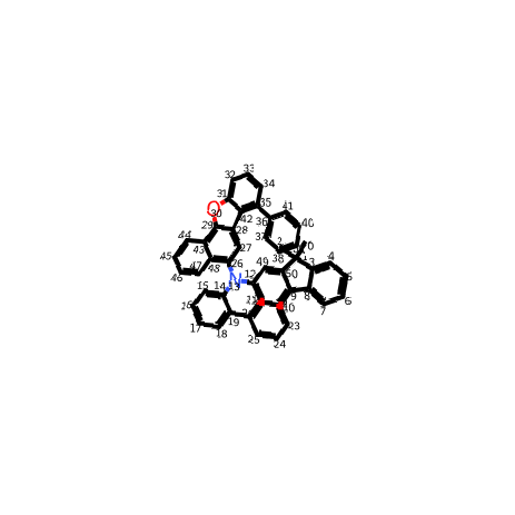 CC1(C)c2ccccc2-c2ccc(N(c3ccccc3-c3ccccc3)c3cc4c(oc5cccc(-c6ccccc6)c54)c4ccccc34)cc21